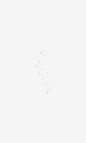 Cc1cccc(OC[C@H]2CN(c3ccc(N4CCN(c5ccc([N+](=O)[O-])s5)CC4)c(F)c3)C(=O)O2)n1